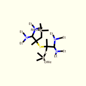 CCN(CC)C(N(CC)CC)C(C)(C[Si](C)(C)OC)SC(C)(C[Si](C)(C)OC)C(N(CC)CC)N(CC)CC